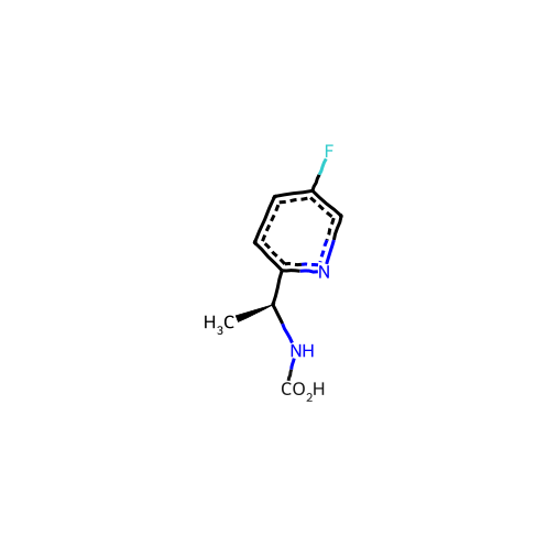 C[C@H](NC(=O)O)c1ccc(F)cn1